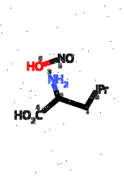 CC(C)CC(N)C(=O)O.O=NO